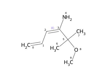 C=C/C=C(/N)C(C)(C)OC